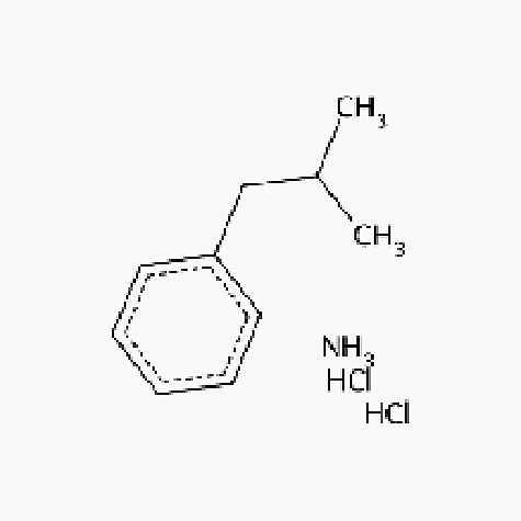 CC(C)Cc1ccccc1.Cl.Cl.N